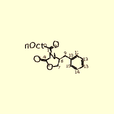 CCCCCCCCC(=O)N1C(=O)OC[C@@H]1Cc1ccccc1